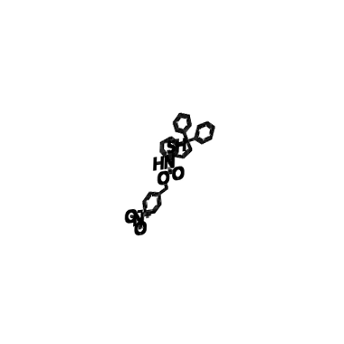 O=C(NC(S)/C=C\C(c1ccccc1)(c1ccccc1)c1ccccc1)OCc1ccc([N+](=O)[O-])cc1